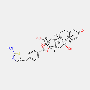 C[C@]12C=CC(=O)C=C1CC[C@@H]1[C@@H]2[C@@H](O)C[C@@]2(C)[C@H]1C[C@H]1O[C@@H](c3ccc(Cc4cnc(N)s4)cc3)O[C@]12C(=O)CO